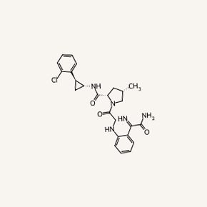 C[C@H]1C[C@@H](C(=O)N[C@@H]2C[C@H]2c2ccccc2Cl)N(C(=O)CNc2ccccc2C(=N)C(N)=O)C1